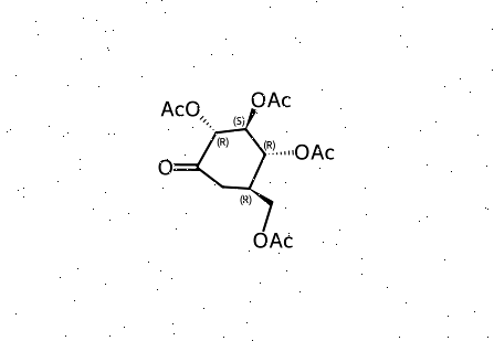 CC(=O)OC[C@H]1CC(=O)[C@H](OC(C)=O)[C@@H](OC(C)=O)[C@@H]1OC(C)=O